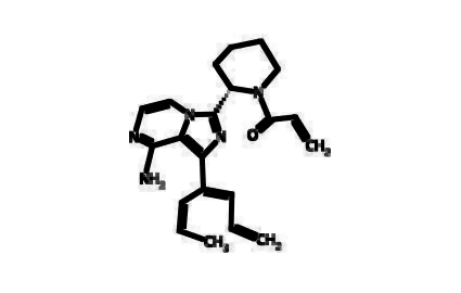 C=C/C=C(\C=C/C)c1nc([C@@H]2CCCCN2C(=O)C=C)n2ccnc(N)c12